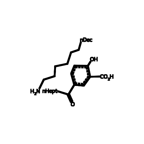 CCCCCCCC(=O)c1ccc(O)c(C(=O)O)c1.CCCCCCCCCCCCCCCCN